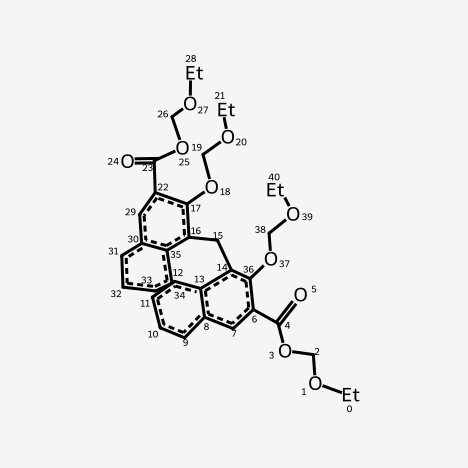 CCOCOC(=O)c1cc2ccccc2c(Cc2c(OCOCC)c(C(=O)OCOCC)cc3ccccc23)c1OCOCC